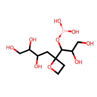 OCC(O)C(O)CC1(C(OB(O)O)C(O)CO)CCO1